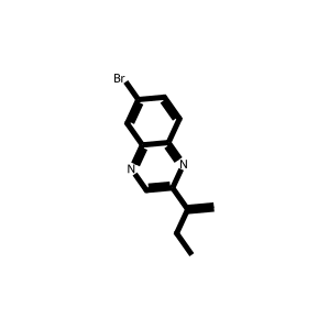 C=C(CC)c1cnc2cc(Br)ccc2n1